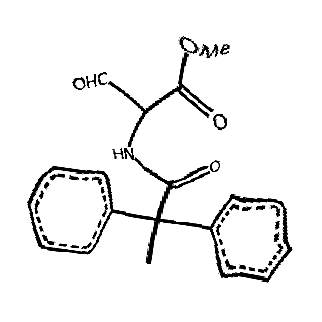 COC(=O)C(C=O)NC(=O)C(C)(c1ccccc1)c1ccccc1